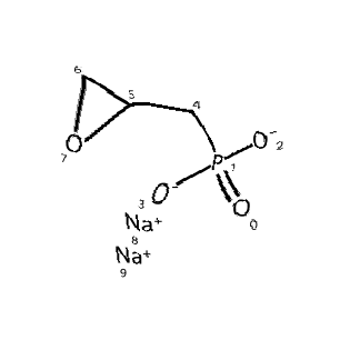 O=P([O-])([O-])CC1CO1.[Na+].[Na+]